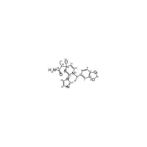 CC(c1ccc2c(c1)OCO2)N1C=CC(Cl)(C(C)C(N)=O)N=C1n1ccnc1